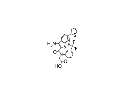 Nc1c(C(=O)N(CC(=O)O)c2cccc(C(F)(F)F)c2)sc2nc(-c3cccs3)ccc12